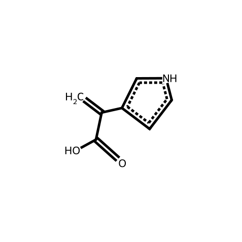 C=C(C(=O)O)c1cc[nH]c1